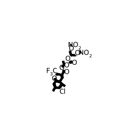 Cc1cc2c(c(C)c1Cl)C=C(C(=O)OC(C)OC(=O)OC(CO[N+](=O)[O-])CO[N+](=O)[O-])C(C(F)(F)F)O2